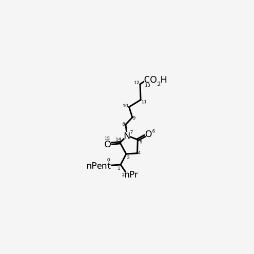 CCCCCC(CCC)C1CC(=O)N(CCCCCC(=O)O)C1=O